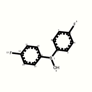 OB(c1ccc(F)cc1)c1ccc(F)cc1